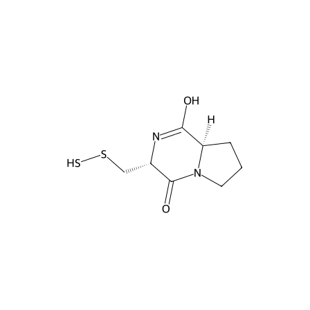 O=C1[C@H](CSS)N=C(O)[C@H]2CCCN12